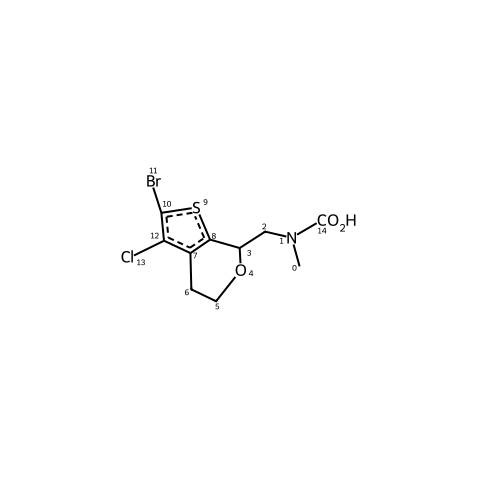 CN(CC1OCCc2c1sc(Br)c2Cl)C(=O)O